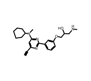 C#Cc1cc(N(C)C2CCCCC2)nc(-c2cccc(OCC(O)CNC)c2)n1